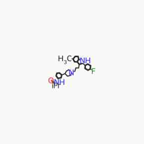 Cc1ccc2[nH]c(-c3ccc(F)cc3)c(CCCN3CCC(c4cccc(NC(=O)C(C)C)c4)CC3)c2c1